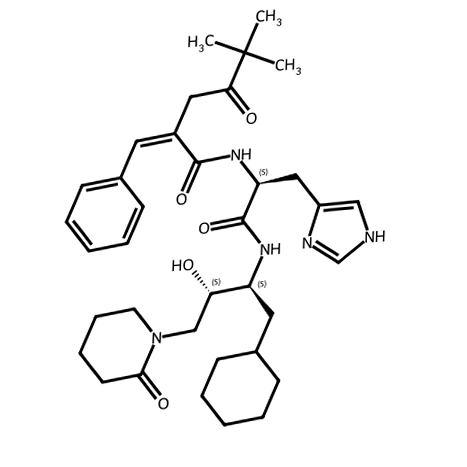 CC(C)(C)C(=O)CC(=Cc1ccccc1)C(=O)N[C@@H](Cc1c[nH]cn1)C(=O)N[C@@H](CC1CCCCC1)[C@@H](O)CN1CCCCC1=O